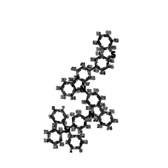 c1ccc([Si](c2ccccc2)(c2ccccc2)c2ccc(-n3c4ccccc4c4ccc(-n5c6ccccc6c6ccc(-c7ccc8sc9ccccc9c8c7)cc65)cc43)cc2)cc1